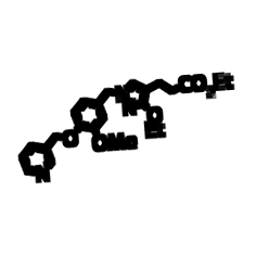 CCOC(=O)CCc1cn(Cc2ccc(OCc3cccnc3)c(OC)c2)nc1OCC